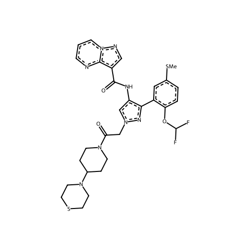 CSc1ccc(OC(F)F)c(-c2nn(CC(=O)N3CCC(N4CCSCC4)CC3)cc2NC(=O)c2cnn3cccnc23)c1